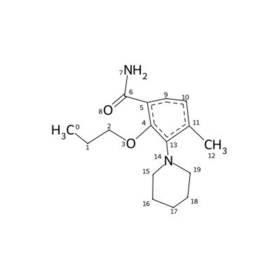 CCCOc1c(C(N)=O)ccc(C)c1N1CCCCC1